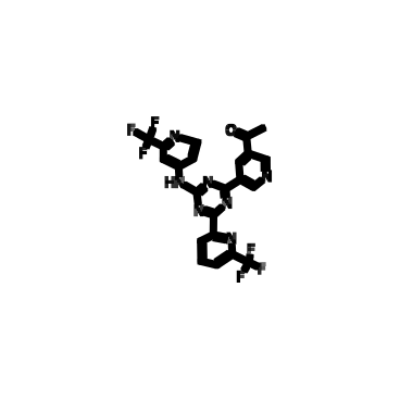 CC(=O)c1cncc(-c2nc(Nc3ccnc(C(F)(F)F)c3)nc(-c3cccc(C(F)(F)F)n3)n2)c1